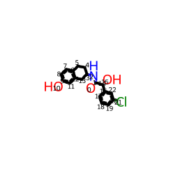 O=C(NC1CCc2ccc(O)cc2C1)C(O)c1cccc(Cl)c1